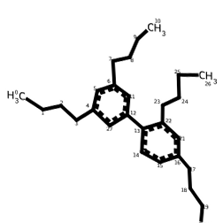 CCCCc1[c]c(CCCC)cc(-c2ccc(CCCC)cc2CCCC)c1